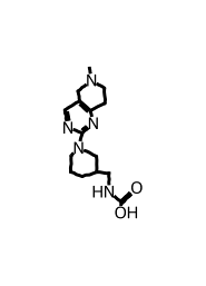 CN1CCc2nc(N3CCCC(CNC(=O)O)C3)ncc2C1